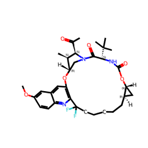 COc1ccc2nc3c(cc2c1)O[C@H]1CN(C(=O)[C@H](C(C)(C)C)NC(=O)O[C@@H]2C[C@H]2CCCCCC3(F)F)[C@H](C(C)=O)[C@@H]1C